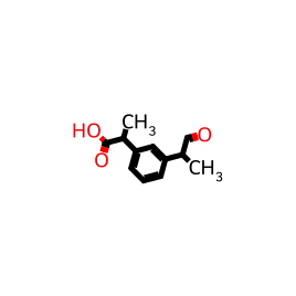 CC(C=O)c1cccc(C(C)C(=O)O)c1